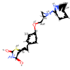 O=C1NC(=O)C(=Cc2ccc(OC[C@H]3CN3c3ccccn3)cc2)S1